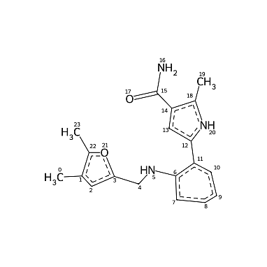 Cc1cc(CNc2ccccc2-c2cc(C(N)=O)c(C)[nH]2)oc1C